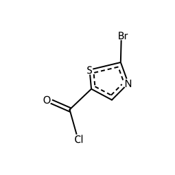 O=C(Cl)c1cnc(Br)s1